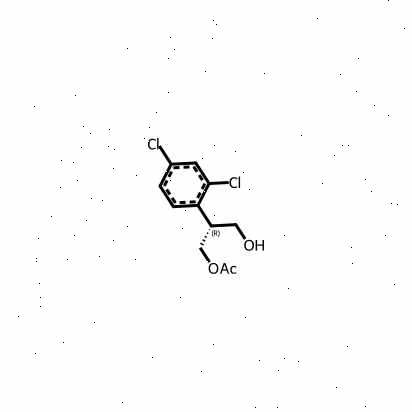 CC(=O)OC[C@@H](CO)c1ccc(Cl)cc1Cl